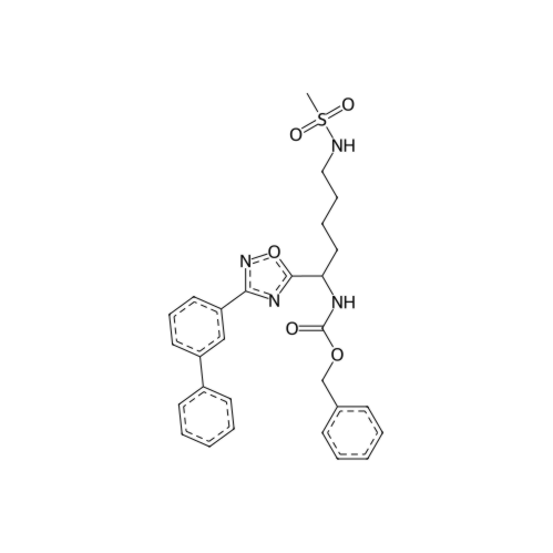 CS(=O)(=O)NCCCCC(NC(=O)OCc1ccccc1)c1nc(-c2cccc(-c3ccccc3)c2)no1